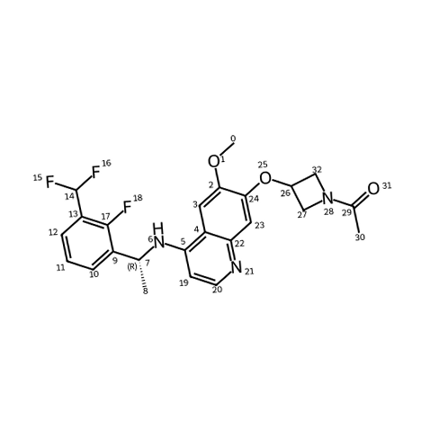 COc1cc2c(N[C@H](C)c3cccc(C(F)F)c3F)ccnc2cc1OC1CN(C(C)=O)C1